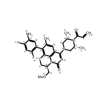 C=CC(=O)N1[C@H](C)CN(c2nc(=O)n3c4c(c(-c5cc(N)c(F)cc5F)c(C)cc24)SC[C@@H]3COC)C[C@@H]1C